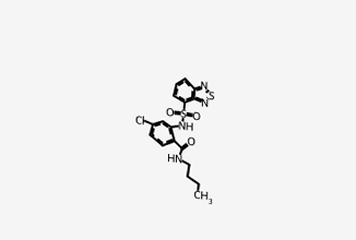 CCCCNC(=O)c1ccc(Cl)cc1NS(=O)(=O)c1cccc2nsnc12